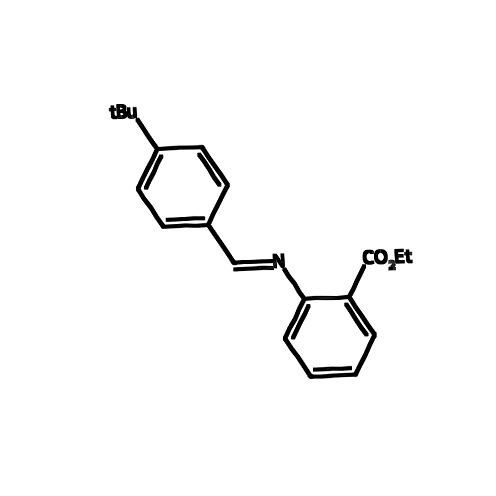 CCOC(=O)c1ccccc1N=Cc1ccc(C(C)(C)C)cc1